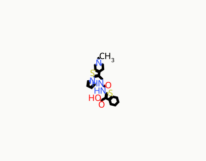 CCN1CCc2c(sc(-n3cccc3)c2CNC(=O)Nc2sc3c(c2C(=O)O)CCCC3)C1